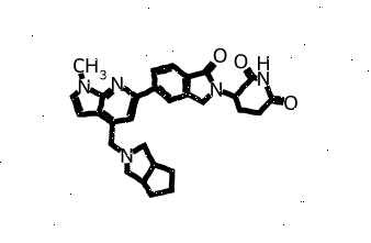 Cn1ccc2c(CN3CC4CCCC4C3)cc(-c3ccc4c(c3)CN(C3CCC(=O)NC3=O)C4=O)nc21